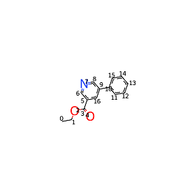 CCOC(=O)c1cncc(-c2ccccc2)c1